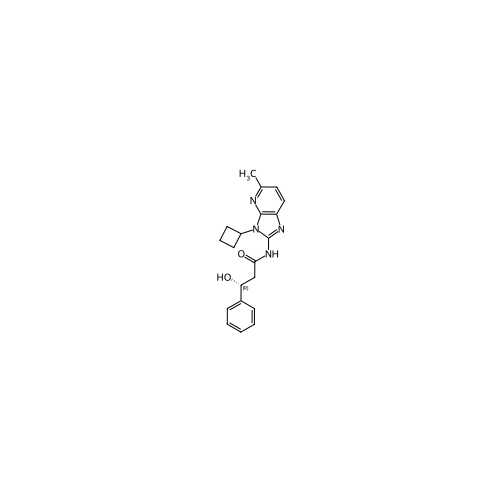 Cc1ccc2nc(NC(=O)C[C@@H](O)c3ccccc3)n(C3CCC3)c2n1